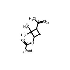 C=C(C)C1CC(OC(=O)C(C)CCC)C1(C)C